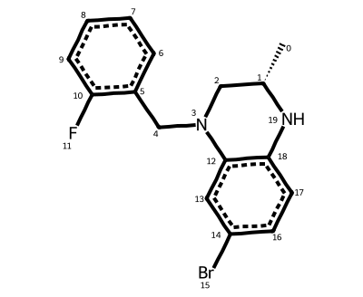 C[C@H]1CN(Cc2ccccc2F)c2cc(Br)ccc2N1